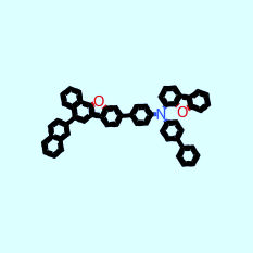 c1ccc(-c2ccc(N(c3ccc(-c4ccc5c(c4)oc4c6ccccc6c(-c6ccc7ccccc7c6)cc54)cc3)c3cccc4c3oc3ccccc34)cc2)cc1